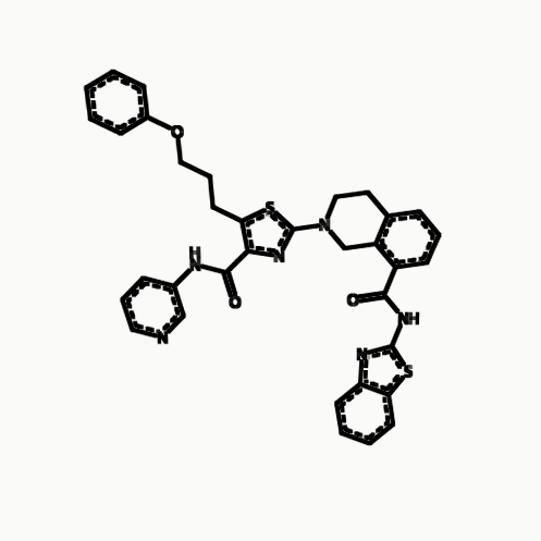 O=C(Nc1nc2ccccc2s1)c1cccc2c1CN(c1nc(C(=O)Nc3cccnc3)c(CCCOc3ccccc3)s1)CC2